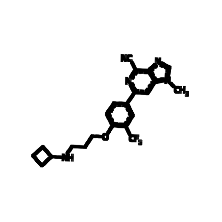 Cn1cnc2c(C#N)nc(-c3ccc(OCCCNC4CCC4)c(C(F)(F)F)c3)cc21